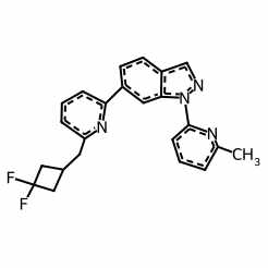 Cc1cccc(-n2ncc3ccc(-c4cccc(CC5CC(F)(F)C5)n4)cc32)n1